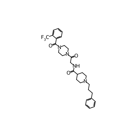 O=C(NCC(=O)N1CCN(C(=O)c2ccccc2C(F)(F)F)CC1)C1CCN(CCCc2ccccc2)CC1